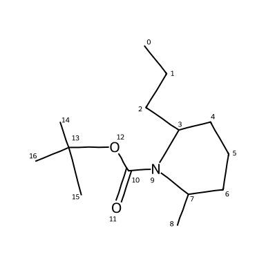 CCCC1CCCC(C)N1C(=O)OC(C)(C)C